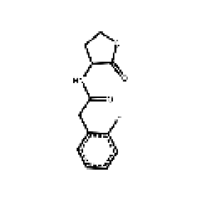 O=C(Cc1ccccc1F)NC1CCOC1=O